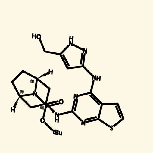 CC(C)(C)OC(=O)N1[C@@H]2CC[C@H]1C[C@H](Nc1nc(Nc3cc(CO)[nH]n3)c3ccsc3n1)C2